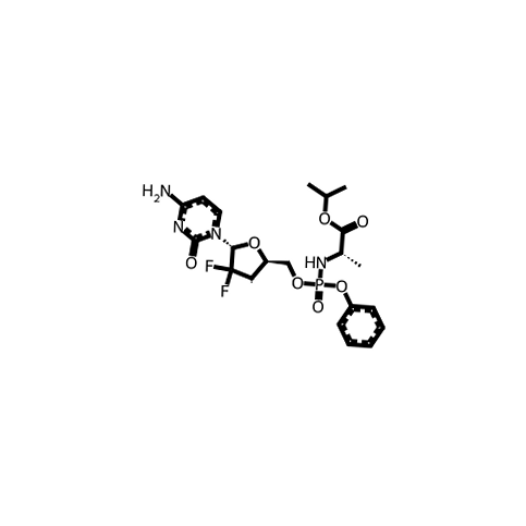 CC(C)OC(=O)[C@H](C)NP(=O)(OC[C@H]1[CH]C(F)(F)[C@H](n2ccc(N)nc2=O)O1)Oc1ccccc1